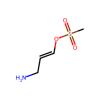 CS(=O)(=O)OC=CCN